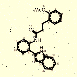 COc1ccccc1CCC(=O)Nc1ccccc1-c1cc2ccccc2[nH]1